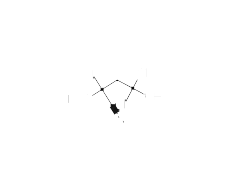 CC(Cl)(Cl)CC(C)(Cl)C#N